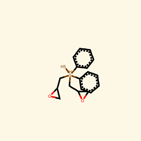 S[SH](CC1CO1)(CC1CO1)(c1ccccc1)c1ccccc1